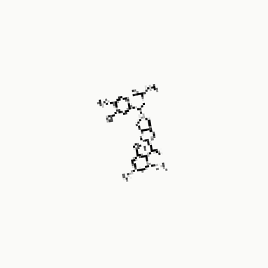 Cc1cc(C)c(C(=O)N2CC3CN(C(CC(N)=O)c4ccc(C)c(Cl)c4)CC3C2)c(C)c1